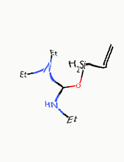 C=C[SiH2]OC(NCC)N(CC)CC